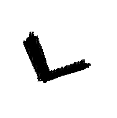 O=C(O)NO.O=C(O)NO.O=C(O)NO.O=C(O)NO.O=C(O)NO.O=C(O)NO.O=C(O)NO.O=C(O)NO.O=C(O)NO.O=C(O)NO.O=C(O)NO.O=C(O)NO.O=C(O)NO.O=C(O)NO.O=C(O)NO.O=C(O)NO.O=C(O)NO.O=C(O)NO.O=C(O)NO.O=C(O)NO.O=C(O)NO.O=C(O)NO.O=C(O)NO.O=C(O)NO.O=C(O)NO.O=C(O)NO.O=C([O-])NO.[Na+]